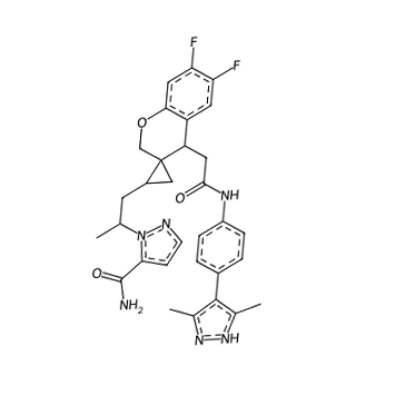 Cc1n[nH]c(C)c1-c1ccc(NC(=O)CC2c3cc(F)c(F)cc3OCC23CC3CC(C)n2nccc2C(N)=O)cc1